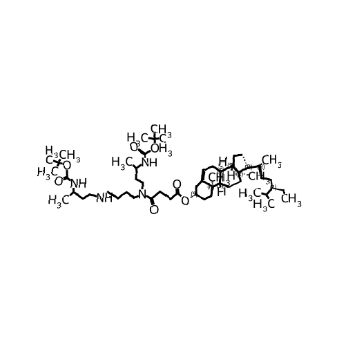 CC[C@H](CC[C@@H](C)[C@H]1CC[C@H]2[C@@H]3CC=C4C[C@@H](OC(=O)CCC(=O)N(CCCCNCCC(C)NC(=O)OC(C)(C)C)CCC(C)NC(=O)OC(C)(C)C)CC[C@]4(C)[C@H]3CC[C@]12C)C(C)C